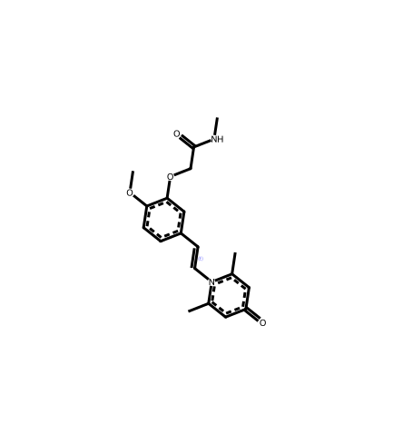 CNC(=O)COc1cc(/C=C/n2c(C)cc(=O)cc2C)ccc1OC